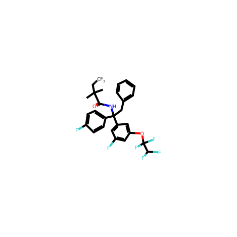 CC(C)(CC(F)(F)F)C(=O)NC(Cc1ccccc1)(c1ccc(F)cc1)c1cc(F)cc(OC(F)(F)C(F)F)c1